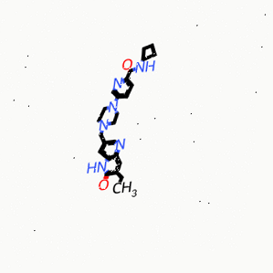 CCc1cc2ncc(CN3CCN(c4ccc(C(=O)NC5CCC5)nc4)CC3)cc2[nH]c1=O